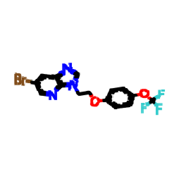 FC(F)(F)Oc1ccc(OCCn2cnc3cc(Br)cnc32)cc1